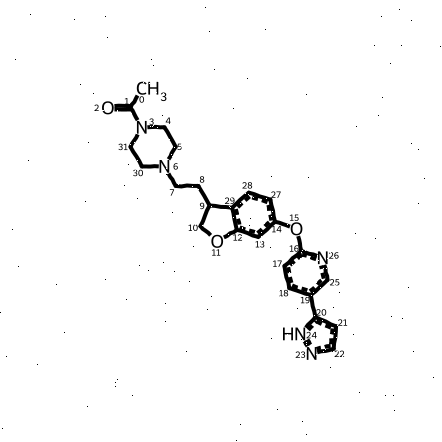 CC(=O)N1CCN(CCC2COc3cc(Oc4ccc(-c5ccn[nH]5)cn4)ccc32)CC1